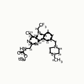 CN1CCN(Cc2ccc3c(c2)c2nc(CNC(=O)OC(C)(C)C)nc(Cl)c2n3CC(F)(F)F)CC1